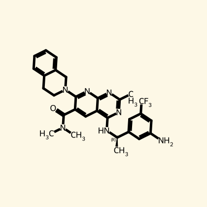 Cc1nc(N[C@H](C)c2cc(N)cc(C(F)(F)F)c2)c2cc(C(=O)N(C)C)c(N3CCc4ccccc4C3)nc2n1